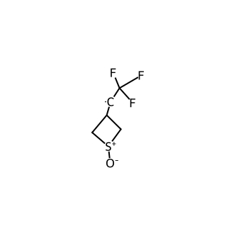 [O-][S+]1CC([CH]C(F)(F)F)C1